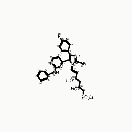 CCOC(=O)C[C@H](O)C[C@H](O)/C=C/n1c(C(C)C)nc(-c2ccc(F)cc2)c1-c1ccnc(Nc2ccccc2)n1